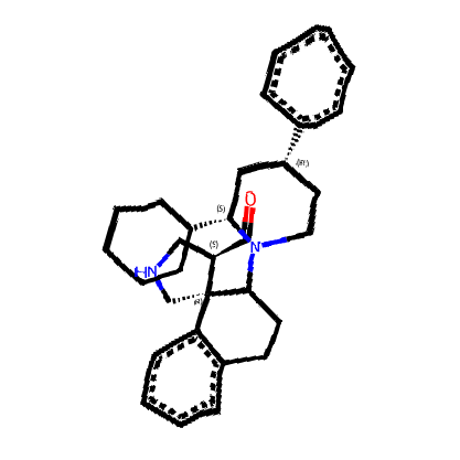 O=C[C@@H]1CNC[C@]12c1ccccc1CCC2N1CC[C@@H](c2ccccc2)C[C@H]1C1CCCCC1